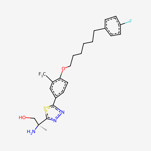 C[C@](N)(CO)c1nnc(-c2ccc(OCCCCCCc3ccc(F)cc3)c(C(F)(F)F)c2)s1